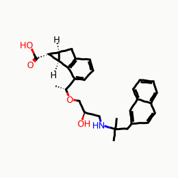 C[C@@H](OC[C@H](O)CNC(C)(C)Cc1ccc2ccccc2c1)c1cccc2c1[C@@H]1[C@H](C2)[C@H]1C(=O)O